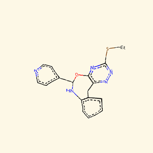 CCSc1nnc2c(n1)OC(c1ccncc1)Nc1ccccc1-2